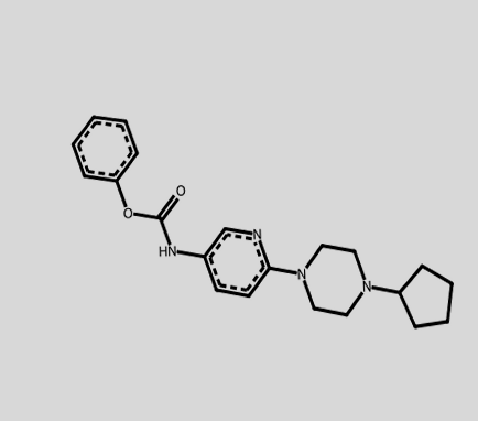 O=C(Nc1ccc(N2CCN(C3CCCC3)CC2)nc1)Oc1ccccc1